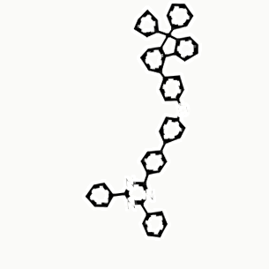 c1ccc(-c2nc(-c3ccccc3)nc(-c3ccc(-c4ccc(Oc5ccc(-c6cccc7c6-c6ccccc6C7(c6ccccc6)c6ccccc6)cc5)cc4)cc3)n2)cc1